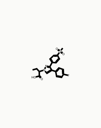 CCC(C(=O)O)n1cc(-c2ccc(F)cc2)c(-c2ccc(S(C)(=O)=O)cc2)n1